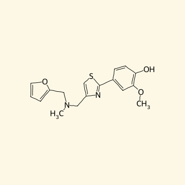 COc1cc(-c2nc(CN(C)Cc3ccco3)cs2)ccc1O